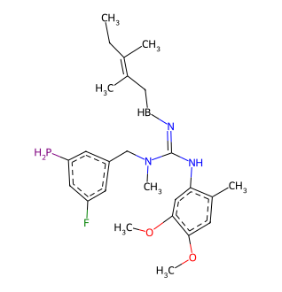 CC/C(C)=C(\C)CB/N=C(/Nc1cc(OC)c(OC)cc1C)N(C)Cc1cc(F)cc(P)c1